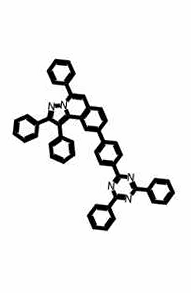 c1ccc(-c2nc(-c3ccccc3)nc(-c3ccc(-c4ccc5cc(-c6ccccc6)n6nc(-c7ccccc7)c(-c7ccccc7)c6c5c4)cc3)n2)cc1